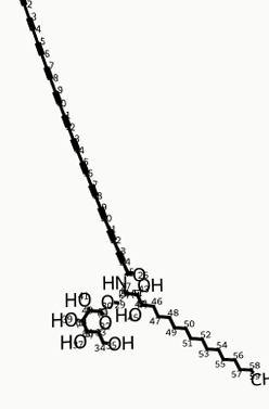 CC#CC#CC#CC#CC#CC#CC#CC#CC#CC#CC#CC#CC(=O)N[C@@H](CO[C@H]1OC(CO)[C@@H](O)[C@H](O)C1O)[C@H](O)[C@H](O)CCCCCCCCCCCCCC